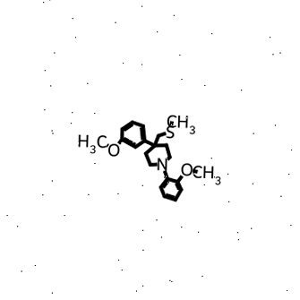 COc1cccc(C2(CSC)CCN(c3ccccc3OC)CC2)c1